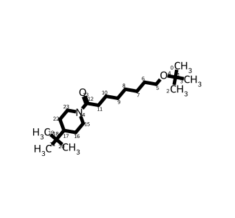 CC(C)(C)OCCCCCCCC(=O)N1CCC(C(C)(C)C)CC1